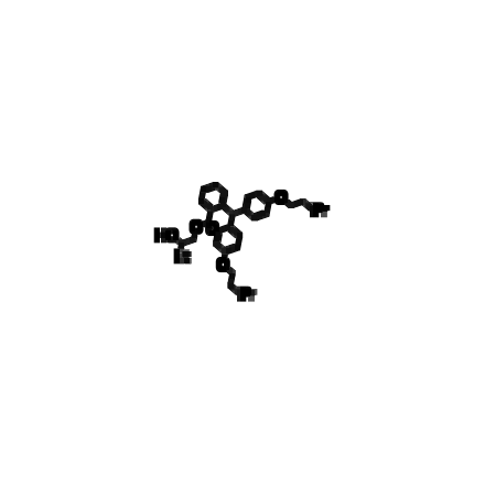 CCC(O)COC(=O)c1ccccc1C(c1ccc(OCCC(C)C)cc1)c1ccc(OCCC(C)C)cc1